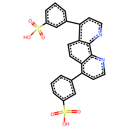 O=S(=O)(O)c1cccc(-c2ccnc3c2ccc2c(-c4cccc(S(=O)(=O)O)c4)ccnc23)c1